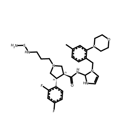 Cc1ccc(CN2C=CNC2NC(=O)[C@@H]2CN(CCCNSN)C[C@H]2c2ccc(F)cc2F)c(N2CCOCC2)c1